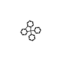 [c]1ccc2c(c1)-c1c[c]ccc1C2(c1ccccc1)c1ccccc1